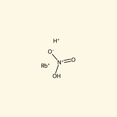 O=[N+]([O-])O.[H+].[Rb+]